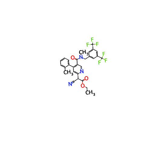 CCOC(=O)C(C#N)c1cc(-c2ccccc2C)c(C(=O)N(C)Cc2cc(C(F)(F)F)cc(C(F)(F)F)c2)cn1